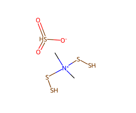 C[N+](C)(SS)SS.O=[SH](=O)[O-]